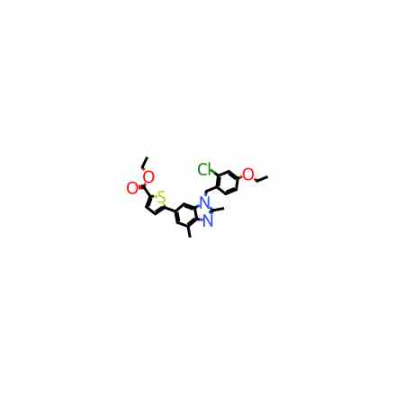 CCOC(=O)c1ccc(-c2cc(C)c3nc(C)n(Cc4ccc(OCC)cc4Cl)c3c2)s1